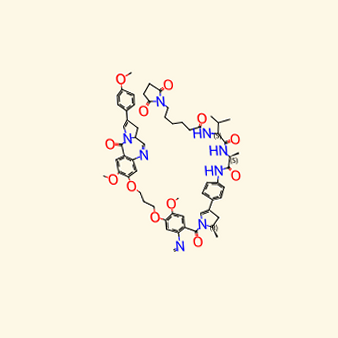 C=Nc1cc(OCCCOc2cc3c(cc2OC)C(=O)N2C=C(c4ccc(OC)cc4)CC2C=N3)c(OC)cc1C(=O)N1C=C(c2ccc(NC(=O)[C@H](C)NC(=O)[C@@H](NC(=O)CCCCCN3C(=O)CCC3=O)C(C)C)cc2)C[C@H]1C